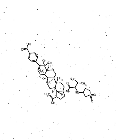 C=C(C)[C@@H]1CC[C@]2(NC(=O)C(NC3CCS(=O)(=O)C3)C(C)C)CC[C@]3(C)[C@H](CC[C@@H]4[C@@]5(C)CC=C(c6ccc(C(=O)O)cc6)C(C)(C)[C@@H]5CC[C@]43C)[C@@H]12